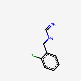 N=[C]NCc1ccccc1F